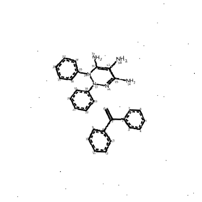 C=C(c1ccccc1)c1ccccc1.NC1=NN(c2ccccc2)N(c2ccccc2)C(N)=C1N